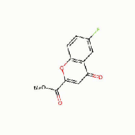 COC(=O)c1cc(=O)c2cc(F)ccc2o1